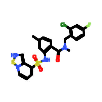 Cc1ccc(C(=O)N(C)Cc2ccc(F)cc2Cl)c(NS(=O)(=O)C2=CC=CN3SNC=C23)c1